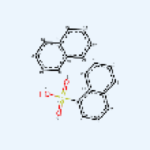 O=S(=O)(O)c1cccc2ccccc12.c1ccc2ccccc2c1